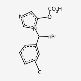 CCCC(c1cccc(Cl)c1)n1cncc1OC(=O)O